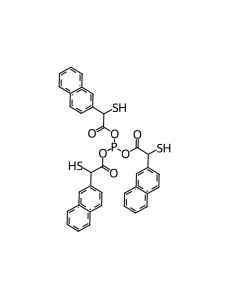 O=C(OP(OC(=O)C(S)c1ccc2ccccc2c1)OC(=O)C(S)c1ccc2ccccc2c1)C(S)c1ccc2ccccc2c1